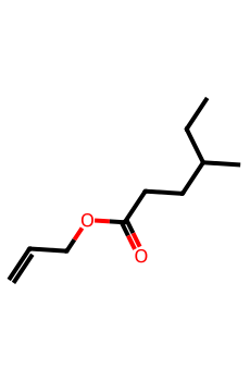 C=CCOC(=O)CCC(C)CC